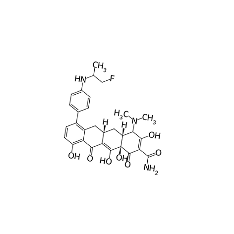 CC(CF)Nc1ccc(-c2ccc(O)c3c2C[C@@H]2C[C@@H]4C(N(C)C)C(O)=C(C(N)=O)C(=O)[C@]4(O)C(O)=C2C3=O)cc1